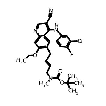 CCOc1cc2ncc(C#N)c(Nc3ccc(F)c(Cl)c3)c2cc1CC=CCN(C)C(=O)OC(C)(C)C